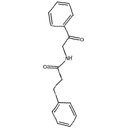 O=C(CCc1ccccc1)NCC(=O)c1ccccc1